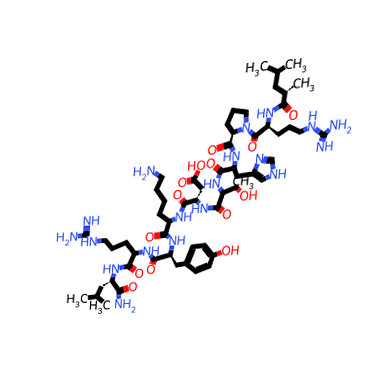 CC(C)C[C@H](NC(=O)C(CCCNC(=N)N)NC(=O)[C@H](Cc1ccc(O)cc1)NC(=O)C(CCCCN)NC(=O)[C@H](CC(=O)O)NC(=O)C(NC(=O)C(Cc1c[nH]cn1)NC(=O)[C@H]1CCCN1C(=O)[C@H](CCCNC(=N)N)NC(=O)[C@@H](C)CC(C)C)[C@@H](C)O)C(N)=O